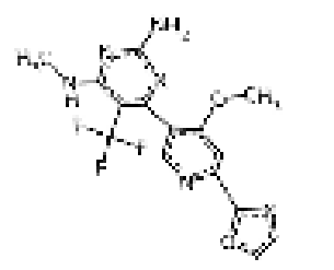 CNc1nc(N)nc(-c2cnc(-c3ncco3)cc2OC)c1C(F)(F)F